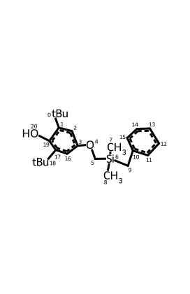 CC(C)(C)c1cc(OC[Si](C)(C)Cc2ccccc2)cc(C(C)(C)C)c1O